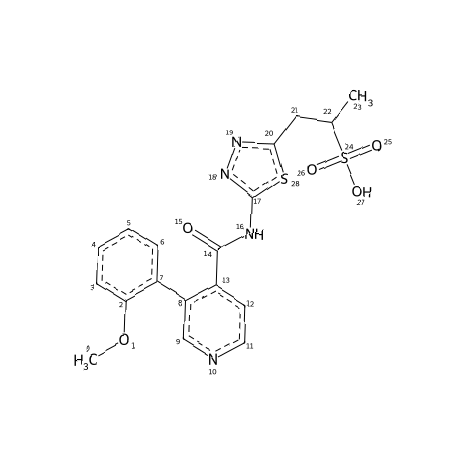 COc1ccccc1-c1cnccc1C(=O)Nc1nnc(CC(C)S(=O)(=O)O)s1